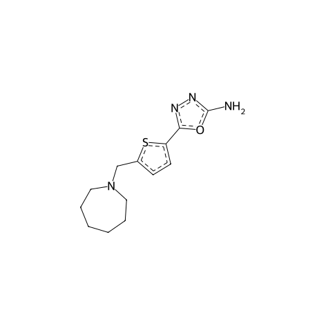 Nc1nnc(-c2ccc(CN3CCCCCC3)s2)o1